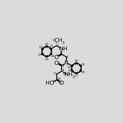 C[C@H](NC(=O)CN(C(=O)[C@@H](N)CC(=O)O)c1ccccc1)c1ccccc1